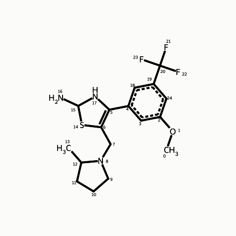 COc1cc(C2=C(CN3CCCC3C)SC(N)N2)cc(C(F)(F)F)c1